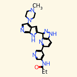 CCC(=O)Nc1cncc(-c2ccc3[nH]nc(-c4cc5c(N6CCN(C)CC6)cncc5[nH]4)c3n2)c1